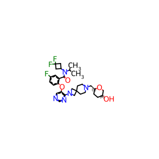 CC(C)N(C(=O)c1cc(F)ccc1Oc1cncnc1N1CC2(CCN(C[C@@H]3CC[C@@H](O)CO3)CC2)C1)C1CC(F)(F)C1